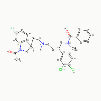 CC(=O)N1CC2(CCN(CCC(CN(C)C(=O)c3ccccc3)c3ccc(Cl)c(Cl)c3)CC2)c2ccc(F)cc21